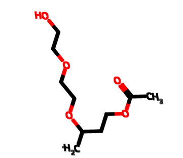 [CH2]C(CCOC(C)=O)OCCOCCO